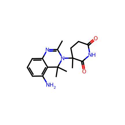 CC1=Nc2cccc(N)c2C(C)(C)N1C1(C)CCC(=O)NC1=O